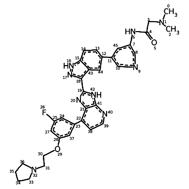 CN(C)CC(=O)Nc1cncc(-c2ccc3[nH]nc(-c4nc5c(-c6cc(F)cc(OCCN7CCCC7)c6)ccnc5[nH]4)c3c2)c1